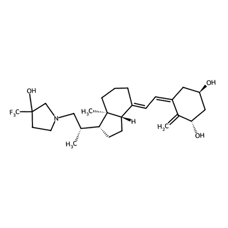 C=C1C(=CC=C2CCC[C@]3(C)[C@@H]([C@H](C)CN4CCC(O)(C(F)(F)F)C4)CC[C@@H]23)C[C@@H](O)C[C@@H]1O